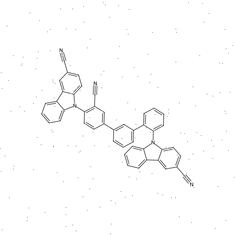 N#Cc1ccc2c(c1)c1ccccc1n2-c1ccc(-c2cccc(-c3ccccc3-n3c4ccccc4c4cc(C#N)ccc43)c2)cc1C#N